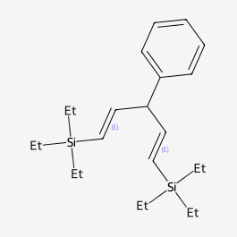 CC[Si](/C=C/C(/C=C/[Si](CC)(CC)CC)c1ccccc1)(CC)CC